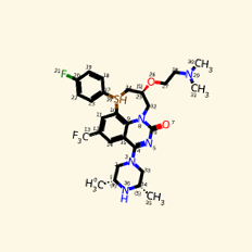 C[C@@H]1CN(c2nc(=O)n3c4c(cc(C(F)(F)F)cc24)[SH](c2ccc(F)cc2)C[C@@H](OCCN(C)C)C3)C[C@H](C)N1